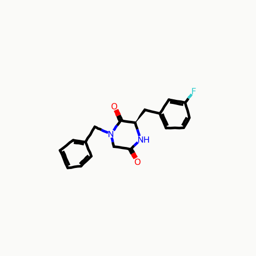 O=C1CN(Cc2ccccc2)C(=O)[C@@H](Cc2cccc(F)c2)N1